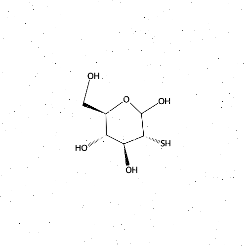 OC[C@H]1OC(O)[C@H](S)[C@@H](O)[C@@H]1O